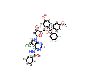 COc1ccc(C(OC[C@H]2O[C@H](n3cc(Cl)c4c(NC(=O)c5ccccc5)ncnc43)C[C@@H]2O)(c2ccccc2)c2ccc(OC)cc2)cc1